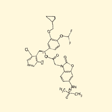 C[SH](C)(=O)Nc1ccc2c(c1)oc(=O)n2CC(=O)O[C@@H](Cc1c(Cl)cncc1Cl)c1ccc(OC(F)F)c(OCC2CC2)c1